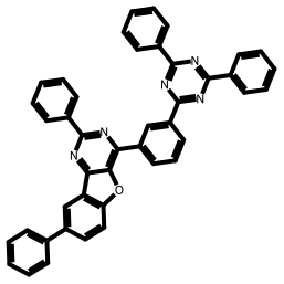 c1ccc(-c2ccc3oc4c(-c5cccc(-c6nc(-c7ccccc7)nc(-c7ccccc7)n6)c5)nc(-c5ccccc5)nc4c3c2)cc1